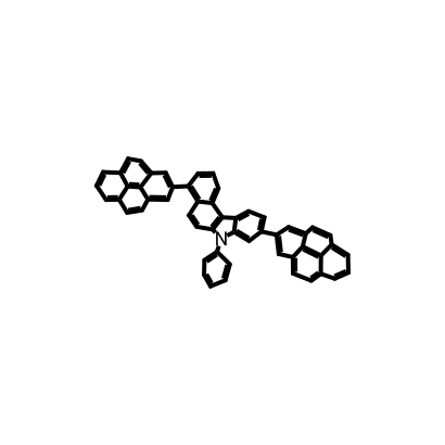 c1ccc(-n2c3cc(-c4cc5ccc6cccc7ccc(c4)c5c67)ccc3c3c4cccc(-c5cc6ccc7cccc8ccc(c5)c6c78)c4ccc32)cc1